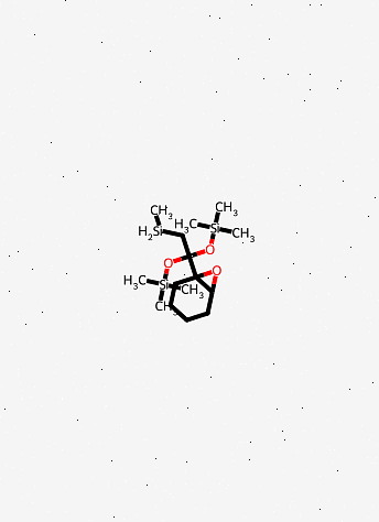 C[SiH2]CC(O[Si](C)(C)C)(O[Si](C)(C)C)C12CCCCC1O2